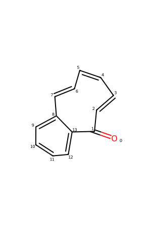 O=C1/C=C/C=C\C=C\c2ccccc21